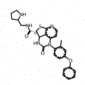 Cc1cc(Oc2ccccc2)ccc1N1C(=O)NC2c3c1ccnc3S[C@H]2C(=O)NCC1CCCN1